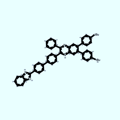 CC(C)(C)c1ccc(-c2cc3nc(-c4ccccc4)c(-c4ccc(-c5ccc(-c6nc7ccccc7o6)cc5)cc4)nc3cc2-c2ccc(C(C)(C)C)cc2)cc1